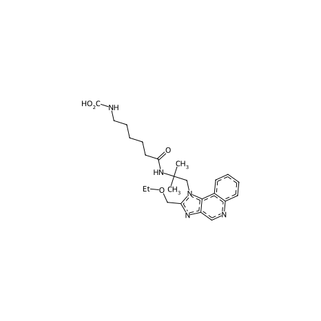 CCOCc1nc2cnc3ccccc3c2n1CC(C)(C)NC(=O)CCCCCNC(=O)O